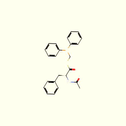 CC(=O)N[C@@H](Cc1ccccc1)C(=O)SCP(c1ccccc1)c1ccccc1